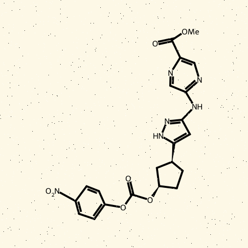 COC(=O)c1cnc(Nc2cc([C@H]3CC[C@@H](OC(=O)Oc4ccc([N+](=O)[O-])cc4)C3)[nH]n2)cn1